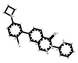 O=c1c2ccc(-c3cc(N4CCC4)ccc3F)cc2cnn1-c1ccccn1